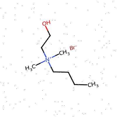 CCCC[N+](C)(C)CCO.[Br-]